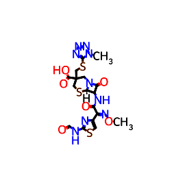 CON=C(C(=O)NC1C(=O)N2CC(CSc3nnnn3C)(C(=O)O)CS[C@H]12)c1csc(NC=O)n1